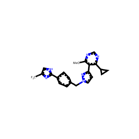 COc1ncnc(C2CC2)c1-c1ccn(Cc2ccc(-c3nc(C(F)(F)F)c[nH]3)cc2)n1